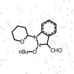 CCCCON1C(C=O)c2ccccc2N1C1CCCCO1